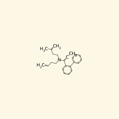 C=C=C(c1ccccc1-c1ccccc1)N(CCC=C)CCC(=C)C